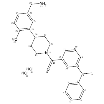 CC(c1ccccc1)c1cncc(C(=O)N2CCC(c3cc(CN)ccc3O)CC2)c1.Cl.Cl